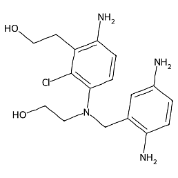 Nc1ccc(N)c(CN(CCO)c2ccc(N)c(CCO)c2Cl)c1